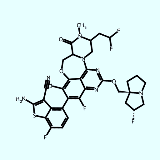 CN1C(=O)C2COc3c(Cl)c(-c4ccc(F)c5sc(N)c(C#N)c45)c(F)c4nc(OC[C@@]56CCCN5C[C@H](F)C6)nc(c34)N2CC1CC(F)F